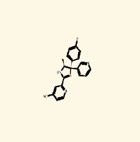 C[C@@H]1NC(c2cc(C#N)ccn2)=N[C@]1(c1ccc(F)cc1)c1cccnc1